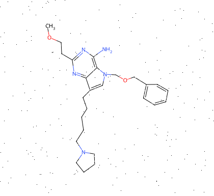 COCCc1nc(N)c2c(n1)c(CCCCCN1CCCC1)cn2COCc1ccccc1